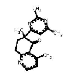 Cc1cc(C2(C)CCc3nccc(C)c3C2=O)nc(C)n1